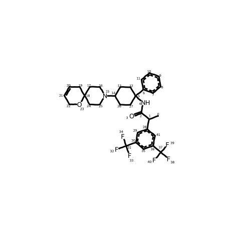 CC(C(=O)NC1(c2ccccc2)CCC(N2CCC3(CC=CCO3)CC2)CC1)c1cc(C(F)(F)F)cc(C(F)(F)F)c1